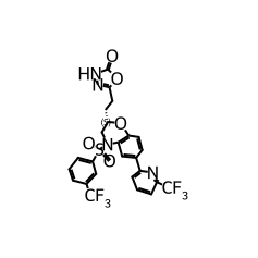 O=c1[nH]nc(CC[C@H]2CN(S(=O)(=O)c3cccc(C(F)(F)F)c3)c3cc(-c4cccc(C(F)(F)F)n4)ccc3O2)o1